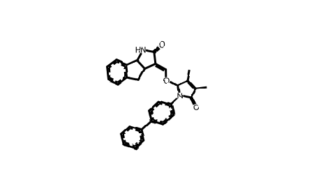 CC1=C(C)C(O/C=C2/C(=O)NC3c4ccccc4CC23)N(c2ccc(-c3ccccc3)cc2)C1=O